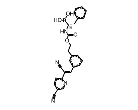 N#CC(=Cc1cccc(CCOC(=O)N[C@@H](Cc2ccccc2)B(O)O)c1)c1ccc(C#N)cn1